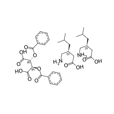 CC(C)C[C@H](CN)CC(=O)O.CC(C)C[C@H](CN)CC(=O)O.O=C(O[C@@H](C(=O)O)[C@@H](OC(=O)c1ccccc1)C(=O)O)c1ccccc1